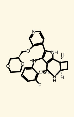 COc1c(F)cccc1Nc1c(-c2ccncc2OC[C@@H]2COCCO2)[nH]c2c1C(=O)N[C@@H]1CC[C@H]21